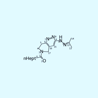 CCCCCCCC(=O)N1CCc2nnc(NN=C(C)C)cc2C1